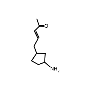 CC(=O)C=CCC1CCC(N)C1